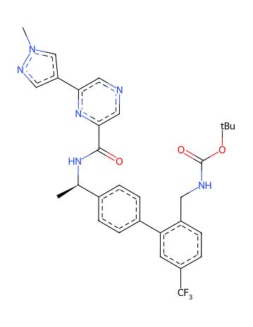 C[C@@H](NC(=O)c1cncc(-c2cnn(C)c2)n1)c1ccc(-c2cc(C(F)(F)F)ccc2CNC(=O)OC(C)(C)C)cc1